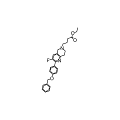 CCOC(=O)CCCN1CCc2nc(-c3ccc(OCc4ccccc4)cc3)c(F)cc2C1